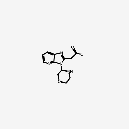 O=C(O)Cc1nc2cccnc2n1C1COCCN1